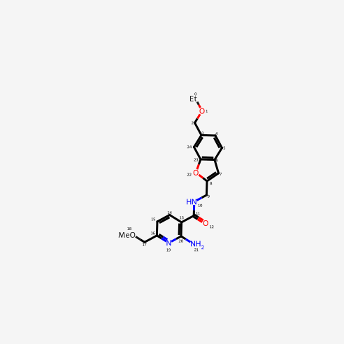 CCOCc1ccc2cc(CNC(=O)c3ccc(COC)nc3N)oc2c1